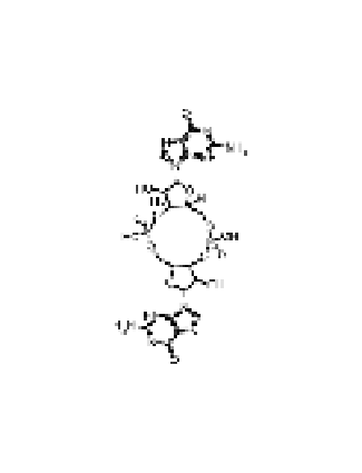 Nc1nc(=O)c2ncn([C@@H]3OC4COP(=O)(O)O[C@H]5[C@@H](O)[C@H](n6cnc7c(=O)nc(N)[nH]c76)O[C@@H]5COP(=O)(O)OC4C3O)c2[nH]1